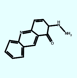 NNC1C=Cc2nc3ccccc3cc2C1=O